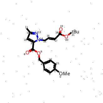 COc1ccc(COC(=O)c2cc(C)nn2C/C=C/C(=O)OC(C)(C)C)cc1